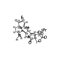 CCC1(OC(C)C)C(=O)OCc2c1cc1n(c2=O)Cc2c-1nc1cc(F)c(C)c3c1c2C(N(C)C)CC3